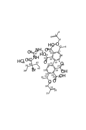 C=C(C)COC(C)c1ccc(-c2ccc(C(C)OCC(=C)C)c(C(=O)O)c2C(=O)O)c(C(=O)O)c1C(=O)O.CCC(Br)(CC)C(=O)NC(N)=O.Cl